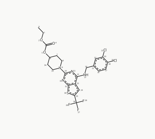 CCOC(=O)OC1CCN(c2nc(NCc3ccc(Cl)c(Cl)c3)c3cc(C(F)(F)F)sc3n2)CC1